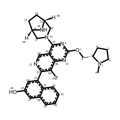 CN1CCC[C@H]1COc1nc(N2C[C@H]3CC[C@@H](C2)N3)c2cnc(-c3cc(O)cc4ccccc34)c(F)c2n1